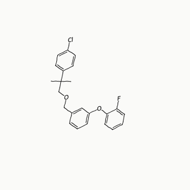 CC(C)(COCc1cccc(Oc2ccccc2F)c1)c1ccc(Cl)cc1